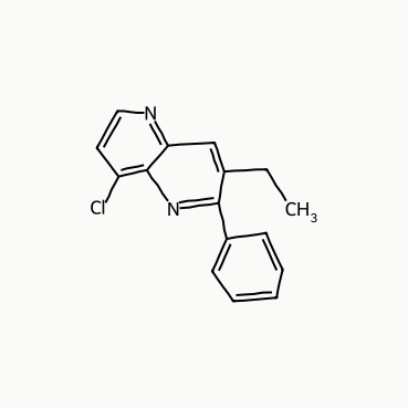 CCc1cc2nccc(Cl)c2nc1-c1ccccc1